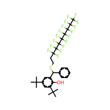 CC(C)(C)c1cc(C(SCCC(F)(F)C(F)(F)C(F)(F)C(F)(F)C(F)(F)C(F)(F)C(F)(F)C(F)(F)F)c2ccccc2)c(O)c(C(C)(C)C)c1